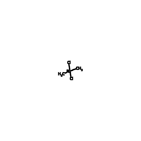 [CH3][Ru]([CH3])([Cl])[Cl]